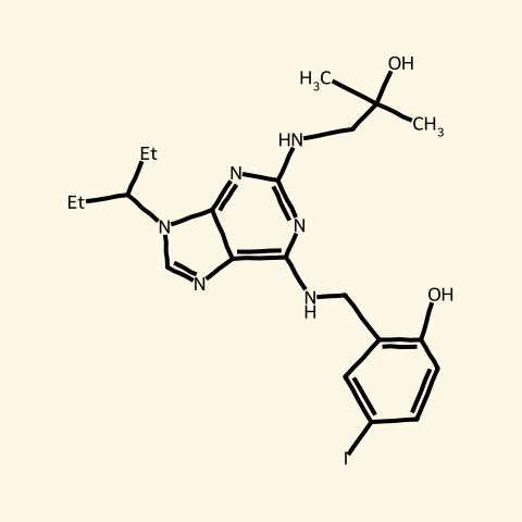 CCC(CC)n1cnc2c(NCc3cc(I)ccc3O)nc(NCC(C)(C)O)nc21